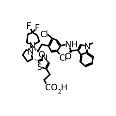 Cn1cc(C(=O)Nc2cc(Cl)c(CC(=O)[N+]3(N4CCC(F)(F)CC4)CCC[C@H]3c3ncc(CCC(=O)O)s3)cc2Cl)c2ccccc21